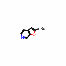 CCCCc1cc2ccncc2o1